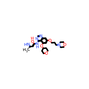 CC(=N)/C=C(\O)Nc1ncnc2cc(OCCCN3CCOCC3)cc(OC3CCOCC3)c12